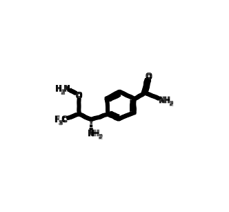 NOC([C@@H](N)c1ccc(C(N)=O)cc1)C(F)(F)F